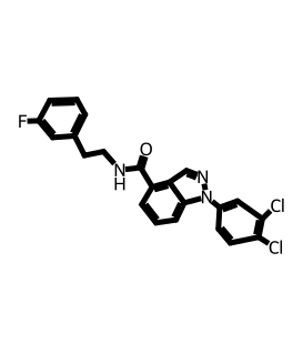 O=C(NCCc1cccc(F)c1)c1cccc2c1cnn2-c1ccc(Cl)c(Cl)c1